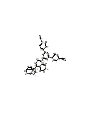 N#Cc1ccc(-c2nc(-c3ccc(C#N)cc3)nc(-c3ccc(C4C5CC6CC(C5)CC4C6)c4ccccc34)n2)cc1